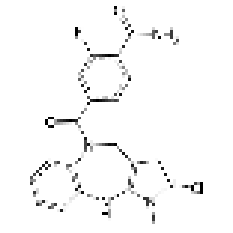 CN1C2=C(CN(C(=O)c3ccc(C(N)=O)c(F)c3)c3ccccc3N2)CN1Cl